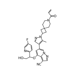 C=CC(=O)N1CCC2(CC1)CC(n1ncc(-c3cc(OC(CO)c4ccc(F)cn4)c4c(C#N)cnn4c3)c1C)C2